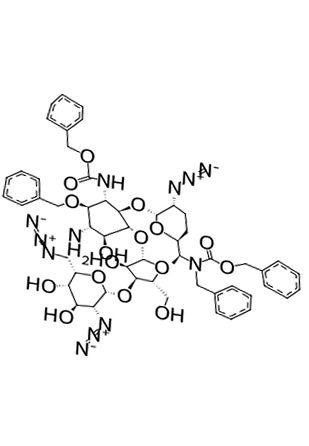 C[C@@H]([C@@H]1CC[C@@H](N=[N+]=[N-])[C@@H](O[C@@H]2[C@@H](NC(=O)OCc3ccccc3)[C@H](OCc3ccccc3)[C@@H](N)[C@H](O)[C@H]2O[C@@H]2O[C@H](CO)[C@@H](O[C@H]3O[C@@H](CN=[N+]=[N-])[C@@H](O)[C@H](O)[C@H]3N=[N+]=[N-])[C@H]2O)O1)N(Cc1ccccc1)C(=O)OCc1ccccc1